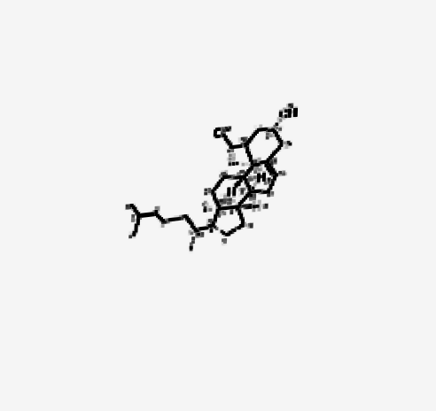 CC(C)CCC[C@@H](C)[C@H]1CC[C@H]2[C@@H]3CC=C4C[C@@H](O)CC([CH]Cl)[C@]4(C)[C@H]3CC[C@]12C